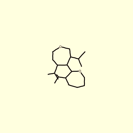 CC(C)C1[CH]CCCOC1C1C(C(C)C)CCOCC1C(C)C